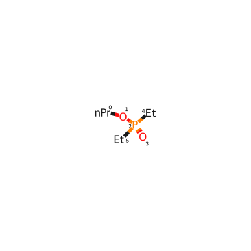 CCCOP(=O)(CC)CC